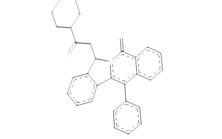 O=C(CC1c2ccccc2-c2c(-c3ccccc3)c3ccccc3c(=O)n21)C1CCCCC1